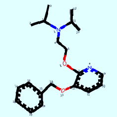 CC(C)N(CCOc1ncccc1OCc1ccccc1)C(C)C